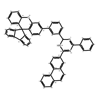 c1ccc(C2=NC(c3cccc(-c4ccc5c(c4)Oc4ccccc4C54c5ccccc5-c5ccccc54)c3)NC(c3ccc4c(ccc5ccccc54)c3)=N2)cc1